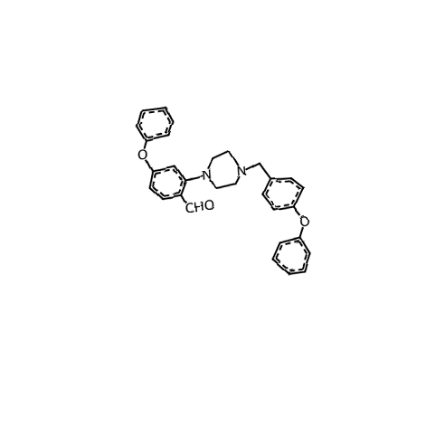 O=Cc1ccc(Oc2ccccc2)cc1N1CCN(Cc2ccc(Oc3ccccc3)cc2)CC1